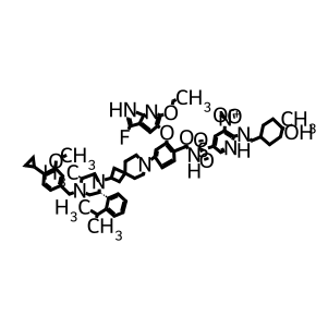 CCOc1nc2[nH]cc(F)c2cc1Oc1cc(N2CCC3(CC2)CC(N2C[C@@H](C)N(Cc4ccc(C5CC5)c(OC)c4)C[C@H]2c2ccccc2C(C)C)C3)ccc1C(=O)NS(=O)(=O)c1cnc(NCC2CCC(C)(O)CC2)c([N+](=O)[O-])c1